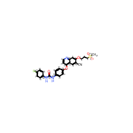 CS(=O)(=O)CCCOc1cc2nccc(Oc3ccc(NC(=O)Nc4ccc(F)cc4)cc3)c2cc1C#N